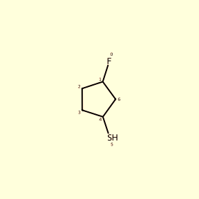 FC1CCC(S)C1